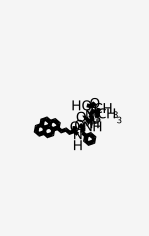 CC1(C)S[C@@H]2[C@H](NC(=O)C(NC(=O)CCCc3ccc4ccc5cccc6ccc3c4c56)c3ccccc3)C(=O)N2[C@H]1C(=O)O